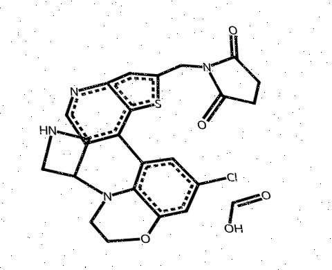 O=C1CCC(=O)N1Cc1cc2nccc(-c3cc(Cl)cc4c3N(C3CNC3)CCO4)c2s1.O=CO